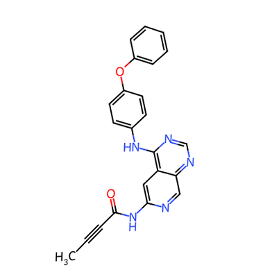 CC#CC(=O)Nc1cc2c(Nc3ccc(Oc4ccccc4)cc3)ncnc2cn1